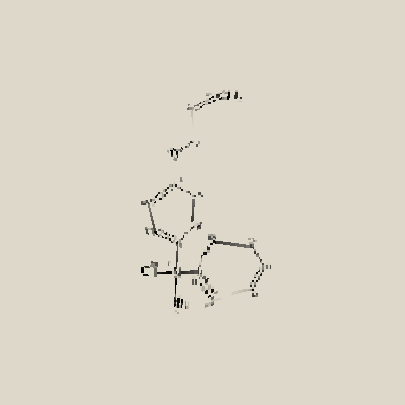 C=CCOc1ccc([Si](Cl)(c2ccccc2)C(C)(C)C)cc1